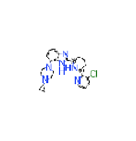 Clc1cccnc1[C@@H]1CCC[C@H](c2nc3cccc(N4CCN(C5CC5)CC4)c3[nH]2)N1